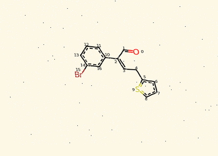 O=CC(=CCc1cccs1)c1cccc(Br)c1